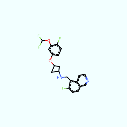 Fc1ccc(OC2CC(NCc3c(F)ccc4cnccc34)C2)cc1OC(F)F